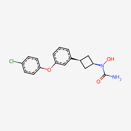 NC(=O)N(O)[C@H]1C[C@@H](c2cccc(Oc3ccc(Cl)cc3)c2)C1